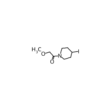 COCC(=O)N1CCC(I)CC1